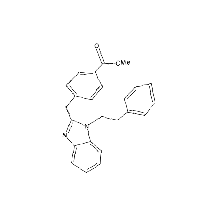 COC(=O)c1ccc(Cc2nc3ccccc3n2CCc2ccccc2)cc1